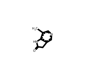 Cc1cncc2c1NC(=O)C2